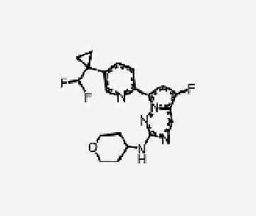 Fc1cc(-c2ccc(C3(C(F)F)CC3)cn2)n2nc(NC3CCOCC3)ncc12